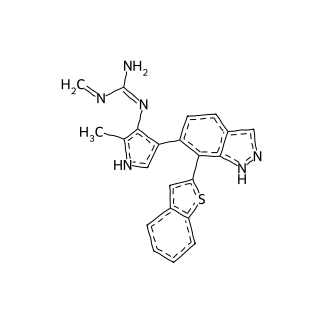 C=N/C(N)=N\c1c(-c2ccc3cn[nH]c3c2-c2cc3ccccc3s2)c[nH]c1C